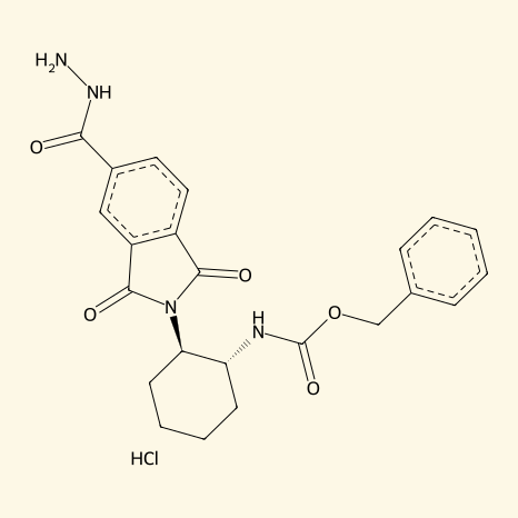 Cl.NNC(=O)c1ccc2c(c1)C(=O)N([C@@H]1CCCC[C@H]1NC(=O)OCc1ccccc1)C2=O